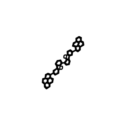 c1cc2ccc3ccc(-c4ccc5oc6c(-c7cccc8c7oc7ccc(-c9ccc%10ccc%11cccc%12ccc9c%10c%11%12)cc78)cccc6c5c4)c4ccc(c1)c2c34